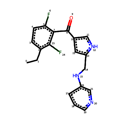 CCc1ccc(F)c(C(=O)c2c[nH]c(CNc3cccnc3)c2)c1F